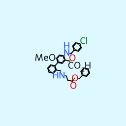 COc1cc(NC(=O)c2ccc(Cl)cc2)c(CC(=O)O)cc1-c1ccccc1CNCCC(=O)OCc1ccccc1